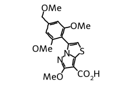 COCc1cc(OC)c(-c2csc3c(C(=O)O)c(OC)nn23)c(OC)c1